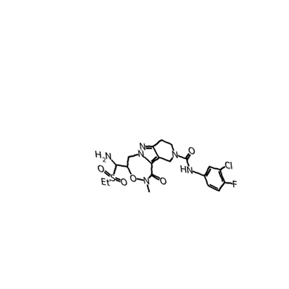 CCS(=O)(=O)C(N)C1Cn2nc3c(c2C(=O)N(C)O1)CN(C(=O)Nc1ccc(F)c(Cl)c1)CC3